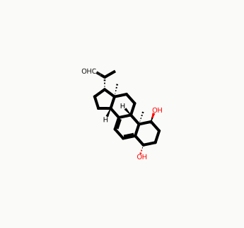 CC(C=O)[C@H]1CC[C@H]2C3=CC=C4[C@@H](O)CC[C@H](O)[C@]4(C)[C@H]3CC[C@]12C